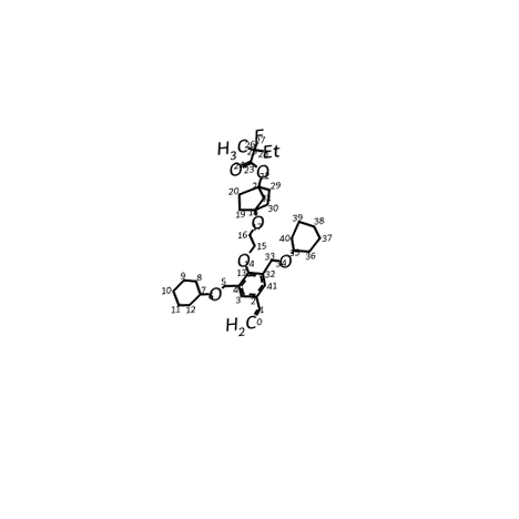 C=Cc1cc(COC2CCCCC2)c(OCCOC23CCC(OC(=O)C(C)(F)CC)(CC2)C3)c(COC2CCCCC2)c1